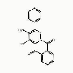 Nc1c(-c2ccccc2)cc2c(c1O)C(=O)c1ccccc1C2=O